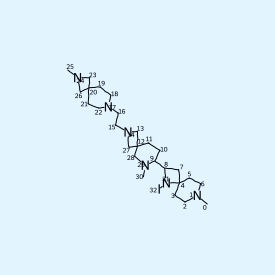 CN1CCC2(CC1)CC(C1CCC3(CN(CCN4CCC5(CC4)CN(C)C5)C3)CN1C)N2I